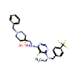 CCN(Cc1ccc(C(F)(F)F)cc1)c1ncnc(NC[C@]2(O)CCN(Cc3ccccc3)C[C@H]2O)c1F